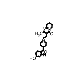 Cc1nc2n(c(=O)c1CCN1CCC(c3onc4cc(O)ccc34)CC1)CCCC2